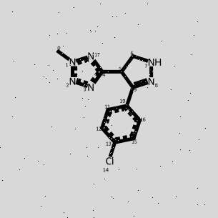 Cn1nnc(C2CNN=C2c2ccc(Cl)cc2)n1